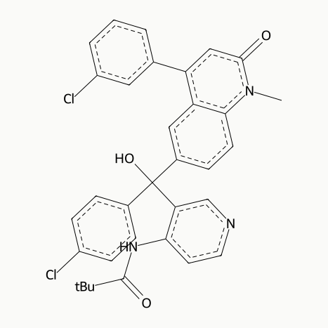 Cn1c(=O)cc(-c2cccc(Cl)c2)c2cc(C(O)(c3ccc(Cl)cc3)c3cnccc3NC(=O)C(C)(C)C)ccc21